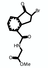 COC(=O)CNC(=O)c1cccc2c1CC(Br)C2=O